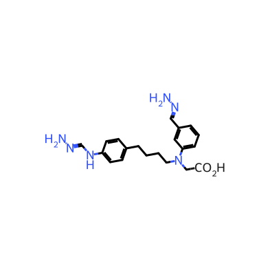 NN=CNc1ccc(CCCCN(CC(=O)O)c2cccc(C=NN)c2)cc1